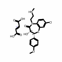 CNCCN1C(=O)[C@@H](O)[C@@H](c2ccc(OC)cc2)Sc2cc(Cl)ccc21.O=C(O)/C=C/C(=O)O